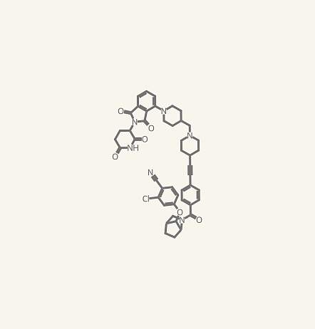 N#Cc1ccc(OC2C3CCC2N(C(=O)c2ccc(C#CC4CCN(CC5CCN(c6cccc7c6C(=O)N(C6CCC(=O)NC6=O)C7=O)CC5)CC4)cc2)C3)cc1Cl